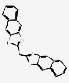 c1ccc2cc3oc(Cc4nc5cc6ccccc6cc5o4)nc3cc2c1